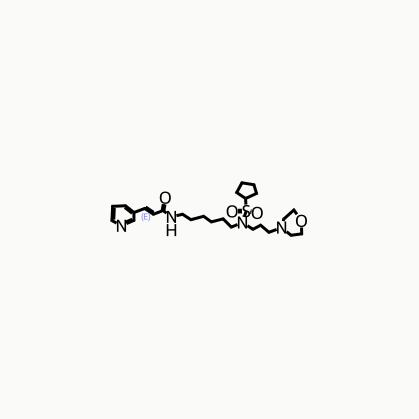 O=C(/C=C/c1cccnc1)NCCCCCCN(CCCN1CCOCC1)S(=O)(=O)C1CCCC1